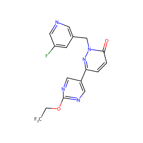 O=c1ccc(-c2cnc(OCC(F)(F)F)nc2)nn1Cc1cncc(F)c1